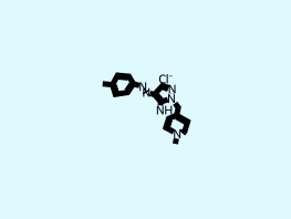 Cc1ccc(N=Nc2cnn(Cc3cc[n+](C)cc3)c2N)cc1.[Cl-]